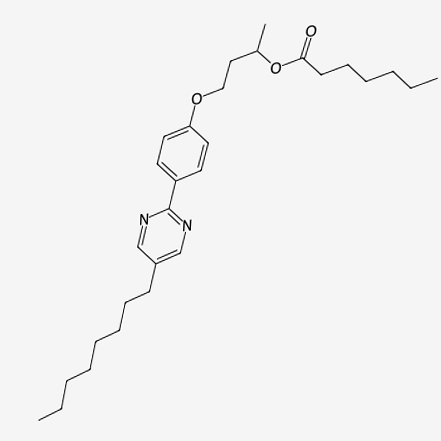 CCCCCCCCc1cnc(-c2ccc(OCCC(C)OC(=O)CCCCCC)cc2)nc1